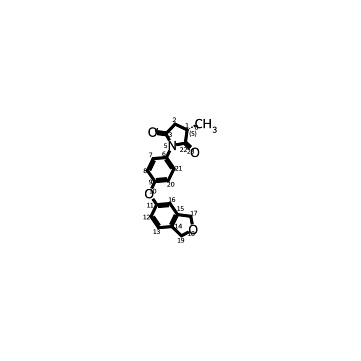 C[C@H]1CC(=O)N(c2ccc(Oc3ccc4c(c3)COC4)cc2)C1=O